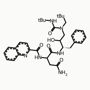 CC(C)(C)CN(CC(O)[C@H](Cc1ccccc1)NC(=O)C(CC(N)=O)NC(=O)c1ccc2ccccc2n1)C(=O)NC(C)(C)C